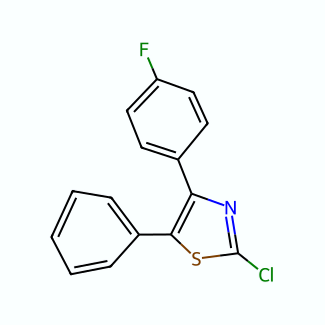 Fc1ccc(-c2nc(Cl)sc2-c2ccccc2)cc1